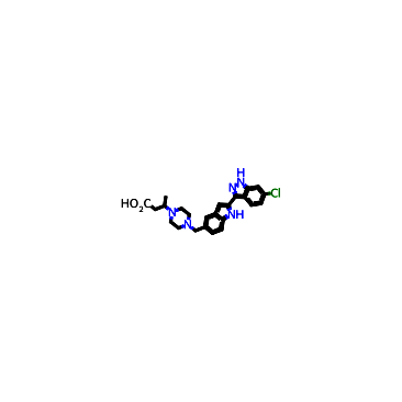 CC(CC(=O)O)N1CCN(Cc2ccc3[nH]c(-c4n[nH]c5cc(Cl)ccc45)cc3c2)CC1